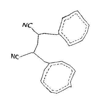 N#CC(c1ccccc1)C(C#N)c1ccccc1